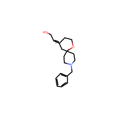 OC/C=C1\CCOC2(CCN(Cc3ccccc3)CC2)C1